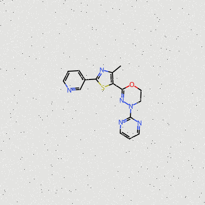 Cc1nc(-c2cccnc2)sc1C1=NN(c2ncccn2)CCO1